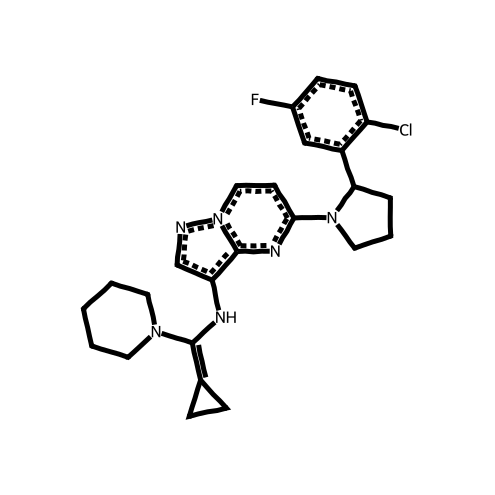 Fc1ccc(Cl)c(C2CCCN2c2ccn3ncc(NC(=C4CC4)N4CCCCC4)c3n2)c1